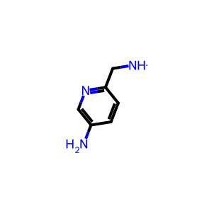 [NH]Cc1ccc(N)cn1